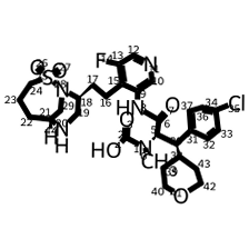 CN(C(=O)O)[C@H](C(=O)Nc1cncc(F)c1CC[C@H]1CN[C@@H]2CCCS(=O)(=O)N1C2)[C@@H](c1ccc(Cl)cc1)C1CCOCC1